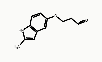 Cc1cc2cc(OCCC=O)ccc2[nH]1